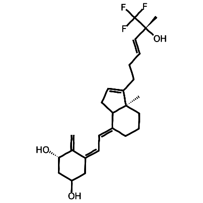 C=C1/C(=C\C=C2/CCC[C@]3(C)C(CC/C=C/[C@@](C)(O)C(F)(F)F)=CCC23)CC(O)C[C@@H]1O